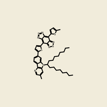 CCCCCCCCC(CCCCCCCC)n1c2cc(-c3ccc(-c4c5c(c(-c6ccc(C)s6)c6nsnc46)N=S=N5)s3)ccc2c2ncc(C)cc21